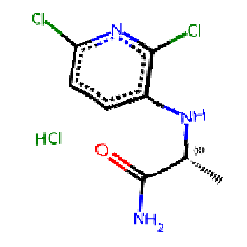 C[C@@H](Nc1ccc(Cl)nc1Cl)C(N)=O.Cl